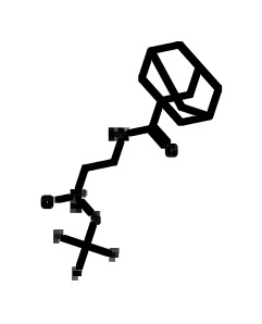 O=C(NCC[NH+]([O-])SC(F)(F)F)C12CC3CC(CC(C3)C1)C2